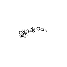 Cc1ccc(Cc2nsc(N3CCN(S(=O)(=O)c4cccc5ccccc45)C(C)C3)n2)cc1